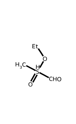 CCO[SH](C)(=O)C=O